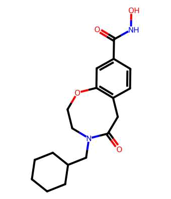 O=C(NO)c1ccc2c(c1)OCCN(CC1CCCCC1)C(=O)C2